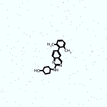 Cc1cccc(C)c1-c1ccc2nc(NC3CCC(O)CC3)ncc2c1